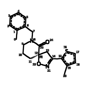 Cc1ccccc1CN1CCC[C@@]2(CC(c3sccc3C)=NO2)C1=O